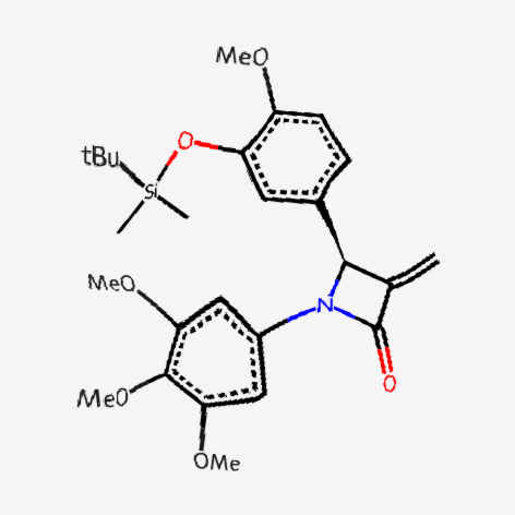 C=C1C(=O)N(c2cc(OC)c(OC)c(OC)c2)[C@H]1c1ccc(OC)c(O[Si](C)(C)C(C)(C)C)c1